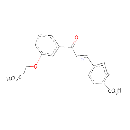 O=C(O)COc1cccc(C(=O)/C=C/c2ccc(C(=O)O)cc2)c1